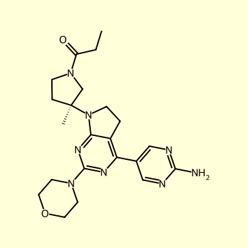 CCC(=O)N1CC[C@](C)(N2CCc3c(-c4cnc(N)nc4)nc(N4CCOCC4)nc32)C1